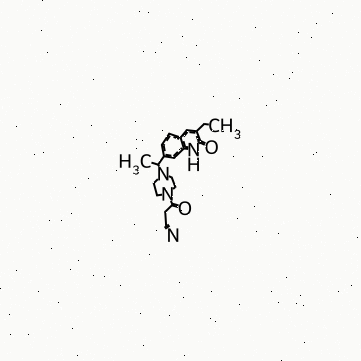 CCc1cc2ccc(C(C)N3CCN(C(=O)CC#N)CC3)cc2[nH]c1=O